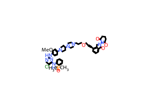 COc1cc(N2CCC(N3CCN(CCCOCC#Cc4cccc5c4CN(N4C(=O)CCCC4=O)C5=O)CC3)CC2)ccc1Nc1ncc(Cl)c(Nc2ccccc2P(C)(C)=O)n1